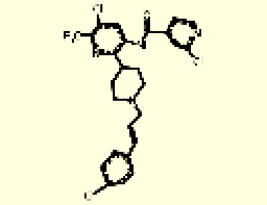 O=C(Nc1cc(Cl)c(C(F)(F)F)nc1C1CCN(C/C=C/c2ccc(Cl)cc2)CC1)c1ccnc(Cl)c1